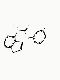 CCc1cccc(NC(=N)N(CC)c2cccc3c2C=CC3)c1